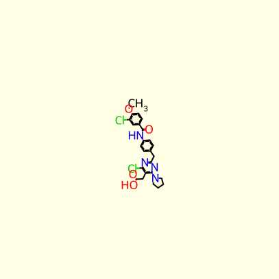 COc1ccc(C(=O)Nc2ccc(Cc3nc(Cl)c(CC(=O)O)c(N4CCCC4)n3)cc2)cc1Cl